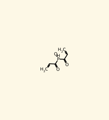 C=CC(=O)[PH](=O)C(=O)C=C